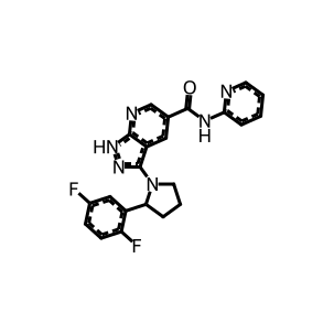 O=C(Nc1ccccn1)c1cnc2[nH]nc(N3CCCC3c3cc(F)ccc3F)c2c1